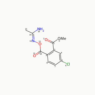 COC(=O)c1cc(Cl)ccc1C(=O)O/N=C(/C)N